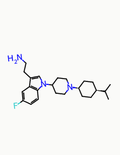 CC(C)[C@H]1CC[C@@H](N2CCC(n3cc(CCN)c4cc(F)ccc43)CC2)CC1